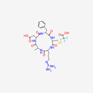 CC1NC(=O)C(CCCN=C(N)N)NC(=O)C(CS)NC(=O)C(Cc2ccccc2)NC(=O)C(CC(=O)O)NC1=O.O=C(O)C(F)(F)F